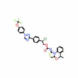 CC(C)c1ccccc1N1C(=O)CS/C1=N\C(=O)OCC(Cl)c1ccc(-c2ncn(-c3ccc(OC(F)(F)F)cc3)n2)cc1